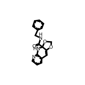 O=C(NCc1ccccc1)C12Nc3ncccc3C=C1OCO2